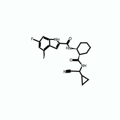 N#CC(NC(=O)[C@@H]1CCCC[C@@H]1NC(=O)c1cc2c(F)cc(F)cc2[nH]1)C1CC1